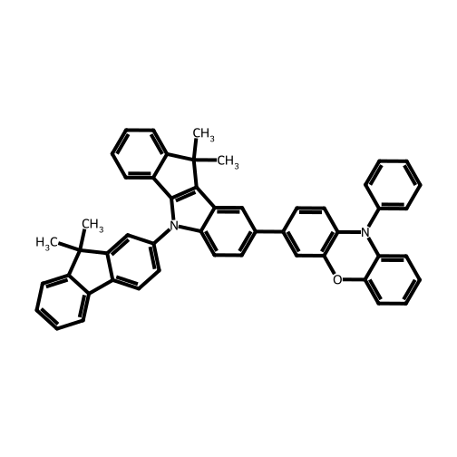 CC1(C)c2ccccc2-c2ccc(-n3c4c(c5cc(-c6ccc7c(c6)Oc6ccccc6N7c6ccccc6)ccc53)C(C)(C)c3ccccc3-4)cc21